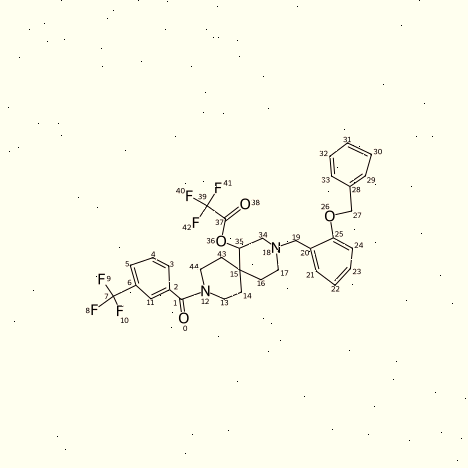 O=C(c1cccc(C(F)(F)F)c1)N1CCC2(CCN(Cc3ccccc3OCc3ccccc3)CC2OC(=O)C(F)(F)F)CC1